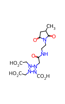 CC1CC(=O)N(CCNC(=O)CN2N(CC(=O)O)N(CC(=O)O)N2C(=O)O)C1=O